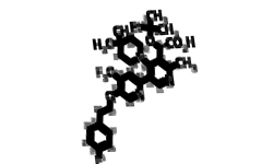 CCC(C)(C)O[C@H](C(=O)O)c1c(C)ncc(-c2cc(C(F)(F)F)c(OCCc3ccc(F)cc3)cn2)c1N1CCC(C)(C)CC1